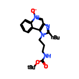 CCCCc1nc2c[n+]([O-])c3ccccc3c2n1CCCNC(=O)OC(C)(C)C